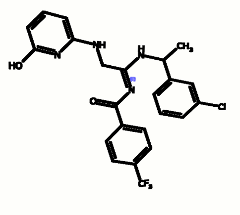 CC(N/C(CNc1cccc(O)n1)=N/C(=O)c1ccc(C(F)(F)F)cc1)c1cccc(Cl)c1